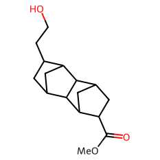 COC(=O)C1CC2CC1C1C3CC(CCO)C(C3)C21